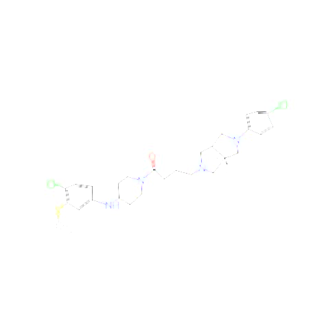 O=C(CCCN1CC2CN(c3ccc(Cl)cc3)C[C@@H]2C1)N1CCC(Nc2ccc(Cl)c(SC(F)(F)F)c2)CC1